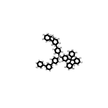 c1ccc(-c2cccc(-c3ccc(N(c4ccc(-c5ccc6sc7ccccc7c6c5)cc4)c4ccc(C5(c6ccccc6)c6ccccc6-c6ccccc65)cc4)cc3)c2)cc1